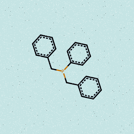 c1ccc(CP(Cc2ccccc2)c2ccccc2)cc1